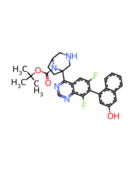 CC(C)(C)OC(=O)N1C2CCC1(c1ncnc3c(F)c(-c4cc(O)cc5ccccc45)c(F)cc13)CNC2